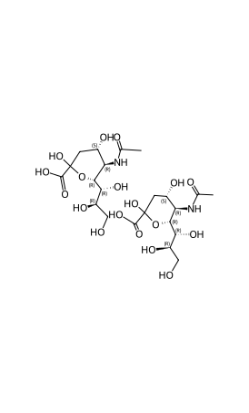 CC(=O)N[C@H]1[C@H]([C@H](O)[C@H](O)CO)OC(O)(C(=O)O)C[C@@H]1O.CC(=O)N[C@H]1[C@H]([C@H](O)[C@H](O)CO)OC(O)(C(=O)O)C[C@@H]1O